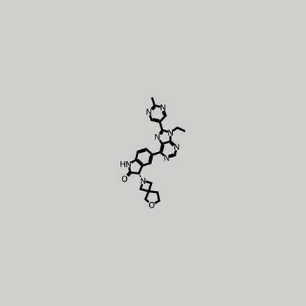 CCn1c(-c2cnc(C)nc2)nc2c(-c3ccc4c(c3)[C@H](N3CC5(CCOC5)C3)C(=O)N4)ncnc21